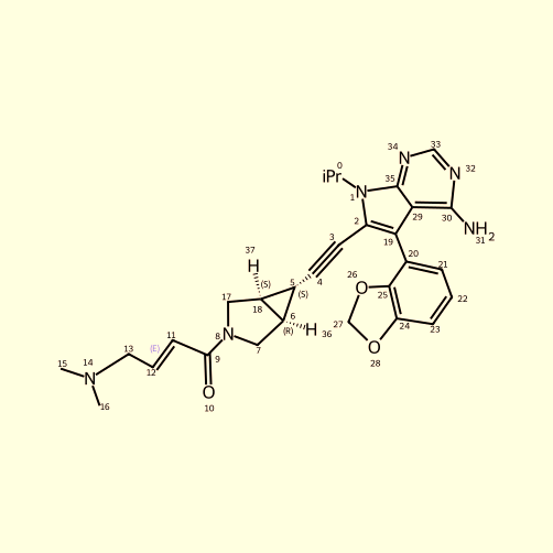 CC(C)n1c(C#C[C@@H]2[C@H]3CN(C(=O)/C=C/CN(C)C)C[C@@H]23)c(-c2cccc3c2OCO3)c2c(N)ncnc21